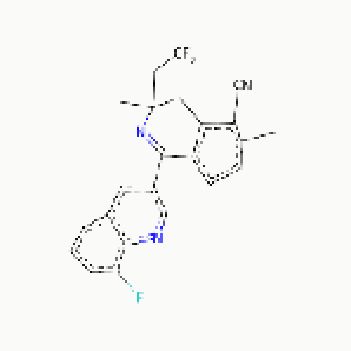 Cc1ccc2c(c1C#N)CC(C)(CC(F)(F)F)N=C2c1cnc2c(F)cccc2c1